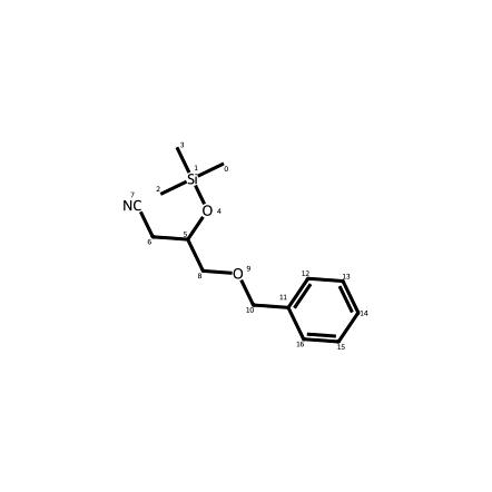 C[Si](C)(C)OC(CC#N)COCc1ccccc1